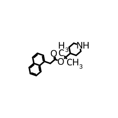 CC(C)(OC(=O)Cc1cccc2ccccc12)C1CCNCC1